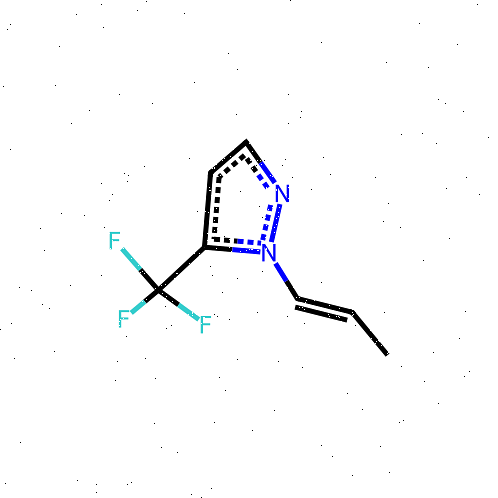 CC=Cn1nccc1C(F)(F)F